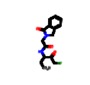 O=C(O)CC(NC(=O)CN1Cc2ccccc2C1=O)C(=O)CF